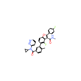 CNC(=O)c1c(-c2ccc(F)cc2)oc2ccc(-c3cc(C(=O)N(c4cccnn4)C4CC4)ccc3C)c(F)c12